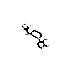 CC(C)(C)OC(=O)N[C@@H]1CCCN(c2ccnc(N)c2N)C1